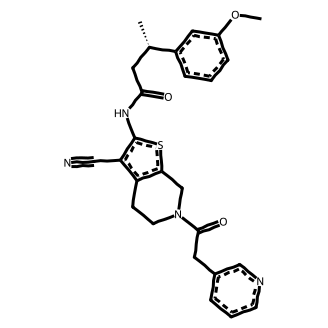 COc1cccc([C@@H](C)CC(=O)Nc2sc3c(c2C#N)CCN(C(=O)Cc2cccnc2)C3)c1